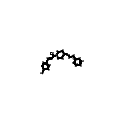 O=C(/C=C/c1ccc(F)cc1)N1CCN(SCCc2ccccc2)CC1